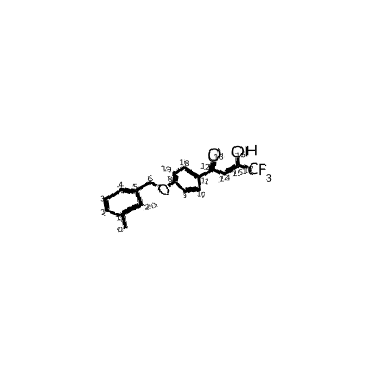 Cc1cccc(COc2ccc(C(=O)C=C(O)C(F)(F)F)cc2)c1